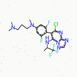 CC(Nc1c(-c2c(F)cc(N(C)CCCN(C)C)cc2F)c(Cl)nc2ncnn12)C(F)(F)F